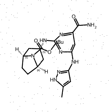 Cc1cc(Nc2cc(C(N)=O)nc(N[C@@H]3C[C@H]4CC[C@@H](C3)N4C(=O)OC(C)(C)C)n2)n[nH]1